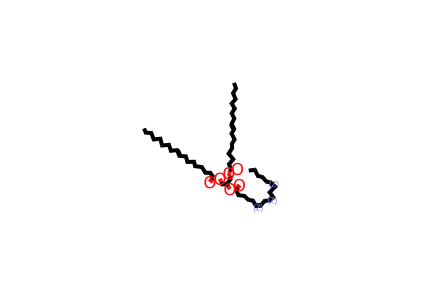 CCCCC/C=C\C/C=C\C/C=C\CCCCC(=O)OC(COC(=O)CCCCCCCC=CCCCCCCCC)COC(=O)CCCCCCCC=CCCCCCCCC